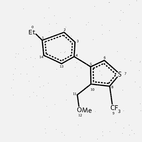 CCc1ccc(-c2csc(C(F)(F)F)c2COC)cc1